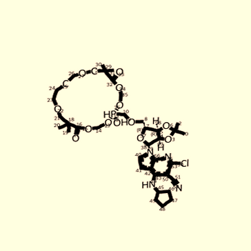 CC1(C)O[C@@H]2[C@H](O1)[C@@H](COC[PH]1(O)OCOC(=O)C(C)(C)COCCCCOCC(C)(C)C(=O)OCO1)O[C@H]2n1ccc2c(NC3CCCC3)c(C#N)c(Cl)nc21